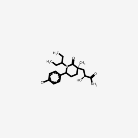 CCC(CC)N1C(=O)[C@@](C)(C[C@H](O)C(N)=O)CCC1c1ccc(Cl)cc1